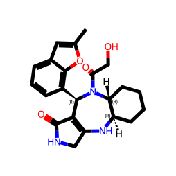 Cc1cc2cccc([C@@H]3C4=C(CNC4=O)N[C@@H]4CCCC[C@H]4N3C(=O)CO)c2o1